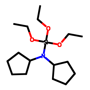 CCO[Si](OCC)(OCC)N(C1CCCC1)C1CCCC1